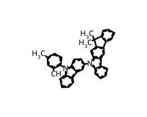 Cc1ccc(-n2c3ccccc3c3cc(-n4c5ccccc5c5cc6c(cc54)C(C)(C)c4ccccc4-6)ccc32)c(C)c1